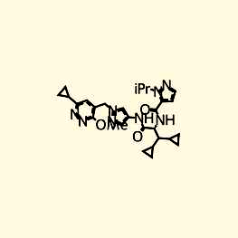 COc1nnc(C2CC2)cc1Cn1cc(NC(=O)[C@@H](NC(=O)c2ccnn2C(C)C)C(C2CC2)C2CC2)cn1